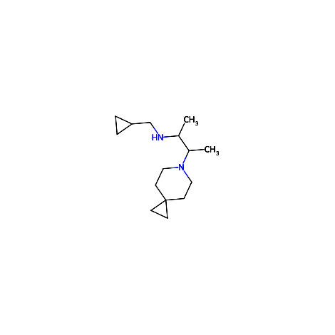 CC(NCC1CC1)C(C)N1CCC2(CC1)CC2